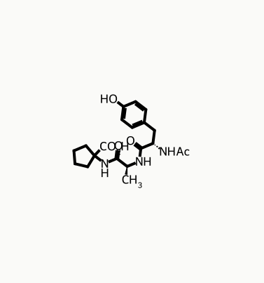 CC(=O)N[C@@H](Cc1ccc(O)cc1)C(=O)N[C@@H](C)C(=O)NC1(C(=O)O)CCCC1